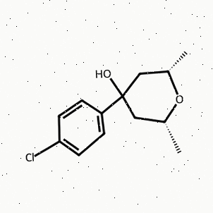 C[C@@H]1CC(O)(c2ccc(Cl)cc2)C[C@H](C)O1